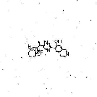 C=C(c1cnc(-c2cc3ccncc3cc2O)cn1)[C@@H]1C[C@H]2CCC[C@](C)(N2)[C@H]1F